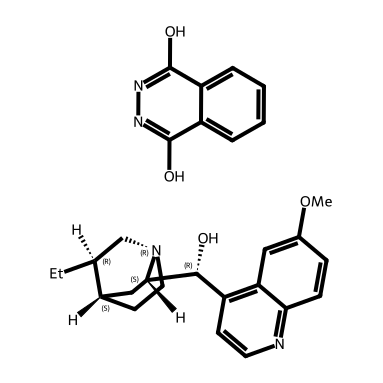 CC[C@H]1C[N@]2CC[C@H]1C[C@H]2[C@H](O)c1ccnc2ccc(OC)cc12.Oc1nnc(O)c2ccccc12